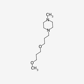 COCCCOCCCN1CCN(C)CC1